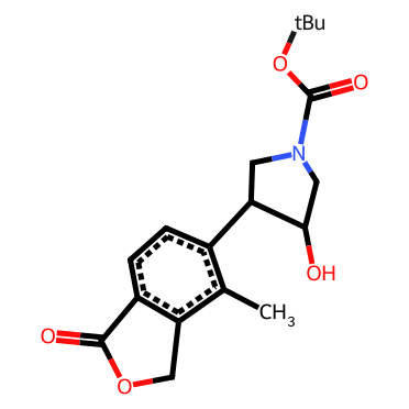 Cc1c(C2CN(C(=O)OC(C)(C)C)CC2O)ccc2c1COC2=O